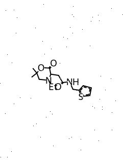 CCN1CC(C)(C)OC(=O)C1CC(=O)NCc1cccs1